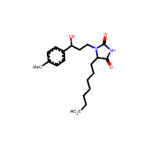 COc1ccc(C(O)CCN2C(=O)NC(=O)C2CCCCCCC(=O)O)cc1